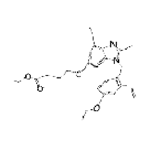 C=Cc1cc(OCC)ccc1Cn1c(C)nc2c(C)cc(OCCCC(=O)OCC)cc21